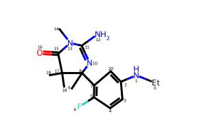 CCNc1ccc(F)c(C2(C)N=C(N)N(C)C(=O)C2(C)C)c1